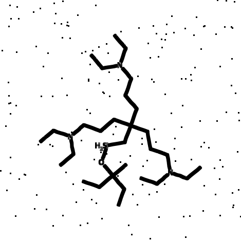 CCN(CC)CCCC(CCCN(CC)CC)(CCCN(CC)CC)C[SiH2]OC(C)(CC)CC